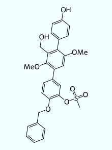 COc1cc(-c2ccc(OCc3ccccc3)c(OS(C)(=O)=O)c2)c(OC)c(CO)c1-c1ccc(O)cc1